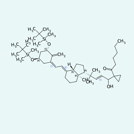 C=C1/C(=C\C=C2/CCC[C@]3(C)[C@@H](C(C)(C)/C=C/C(O)C4(C(=O)CCCCC)CC4)CC[C@@H]23)C[C@@H](O[Si](C)(C)C(C)(C)C)C[C@@H]1O[Si](C)(C)C(C)(C)C